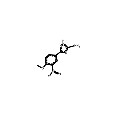 COc1ccc(-c2n[nH]c(N)n2)cc1[N+](=O)[O-]